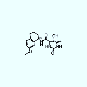 C=C1NC(=O)NC(C(=O)N[C@H]2CCCc3ccc(OC)cc32)=C1O